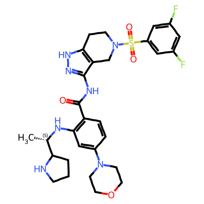 C[C@H](Nc1cc(N2CCOCC2)ccc1C(=O)Nc1n[nH]c2c1CN(S(=O)(=O)c1cc(F)cc(F)c1)CC2)C1CCCN1